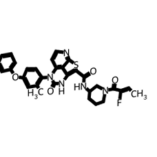 CC=C(F)C(=O)N1CCCC(NC(=O)c2sc3nccc4c3c2NC(=O)N4c2ccc(Oc3ccccc3)cc2C)C1